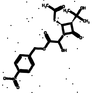 CC(=O)S[C@@H]1[C@H](C(C)(C)O)C(=O)N1C(O)C(=O)OCc1ccc([N+](=O)[O-])cc1